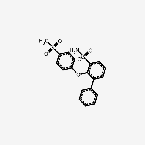 CS(=O)(=O)c1ccc(Oc2c(-c3ccccc3)cccc2S(N)(=O)=O)cc1